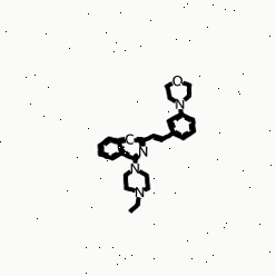 CCN1CCN(c2nc(C=Cc3cccc(N4CCOCC4)c3)cc3ccccc23)CC1